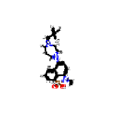 CCN1c2ccc(N3CCCN(CC(C)(C)C)CC3)c3cccc(c23)S1(=O)=O